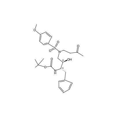 COc1ccc(S(=O)(=O)N(CCC(C)=O)C[C@@H](O)[C@H](Cc2ccccc2)NC(=O)OC(C)(C)C)cc1